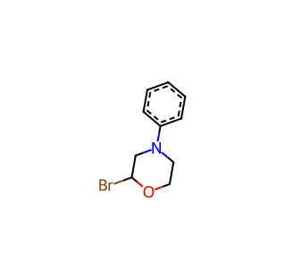 BrC1CN(c2ccccc2)CCO1